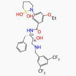 CCOc1cc(C(=O)N[C@@H](Cc2ccccc2)[C@H](O)CNCc2cc(C(F)(F)F)cc(C(F)(F)F)c2)cc(N2CCCCS2(O)O)c1